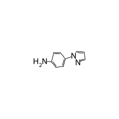 Nc1ccc(-n2cccn2)cc1